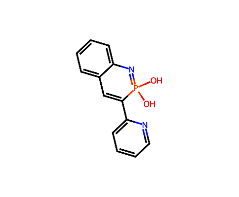 OP1(O)=Nc2ccccc2C=C1c1ccccn1